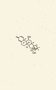 C=C1C=C[C@@]2(C)C(=C1)CC[C@H]1[C@@H]3C[C@H]4OC(C)(C)O[C@@]4(C(=O)CO)[C@@]3(C)C[C@H](O)[C@@]12F